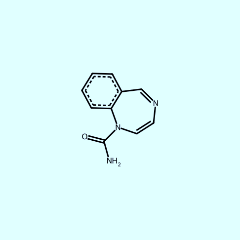 NC(=O)N1C=CN=Cc2ccccc21